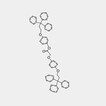 O=C(COc1ccc(OCCC(c2ccccc2)(c2ccccc2)c2ccccc2)cc1)Oc1ccc(OCCC(c2ccccc2)(c2ccccc2)c2ccccc2)cc1